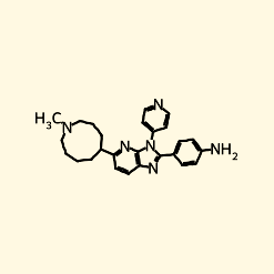 CN1CCCCC(c2ccc3nc(-c4ccc(N)cc4)n(-c4ccncc4)c3n2)CCC1